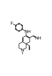 C=CC12CC(C=N)=C(Nc3ccc(F)cc3)C=C1CCN(C)C2